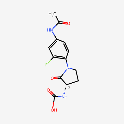 CC(=O)Nc1ccc(N2CC[C@H](NC(=O)O)C2=O)c(F)c1